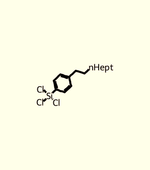 CCCCCCCCCc1ccc([Si](Cl)(Cl)Cl)cc1